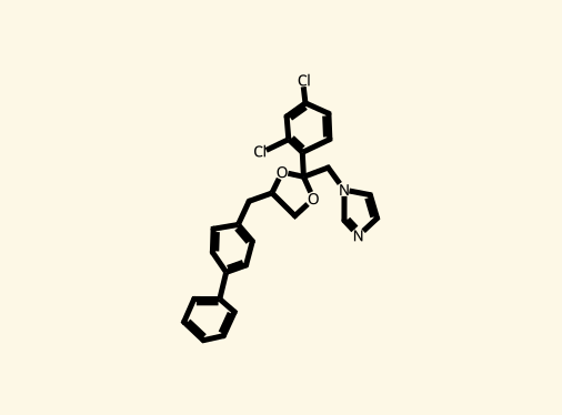 Clc1ccc(C2(Cn3ccnc3)OCC(Cc3ccc(-c4ccccc4)cc3)O2)c(Cl)c1